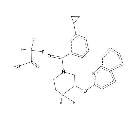 O=C(O)C(F)(F)F.O=C(c1cccc(C2CC2)c1)N1CCC(F)(F)C(Oc2ccc3ccccc3n2)C1